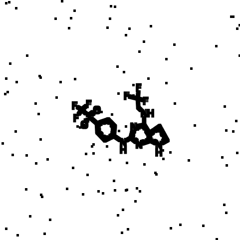 O=S(=O)(c1ccc(Nc2nc(NCC(F)(F)F)c3cc[nH]c3n2)cc1)C(F)(F)F